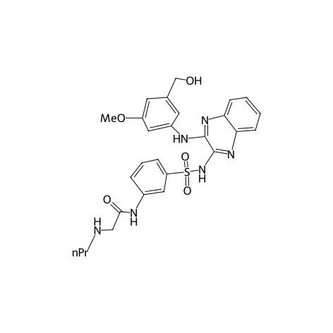 CCCNCC(=O)Nc1cccc(S(=O)(=O)Nc2nc3ccccc3nc2Nc2cc(CO)cc(OC)c2)c1